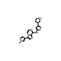 Cn1cc(-c2cnc3c(Nc4cc(C5CCNC5)ns4)nccn23)cn1